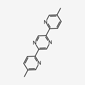 Cc1ccc(-c2cnc(-c3ccc(C)cn3)cn2)nc1